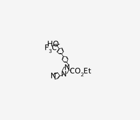 CCOC(=O)C1CN(Cc2ccncc2)CCN1Cc1ccc(-c2ccc(C(C)(O)C(F)(F)F)cc2)cc1